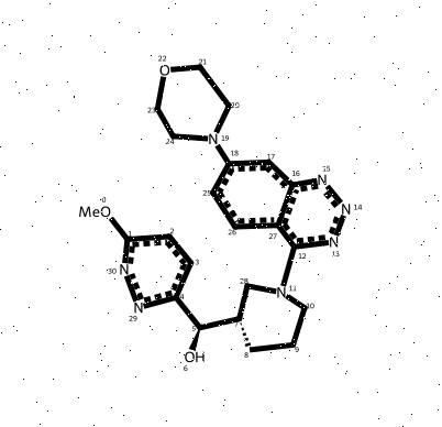 COc1ccc([C@H](O)[C@H]2CCCN(c3nnnc4cc(N5CCOCC5)ccc34)C2)nn1